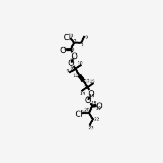 CCC(Cl)C(=O)OOC(C)(C)C#CC(C)(C)OOC(=O)C(Cl)CC